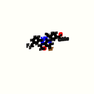 COC(=O)c1ccc(C(C)Nc2ncc(Br)c3c2N(Cc2cccc(C(F)(F)F)c2)CCO3)cc1